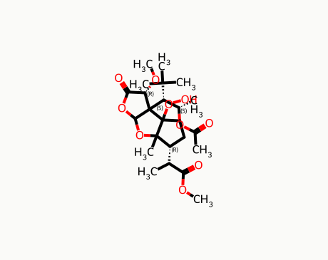 COC(=O)C(C)[C@H]1CCC2(OO)C1(C)OC1OC(=O)[C@H](OC)C12[C@@H]([C@H](C)OC(C)=O)C(C)(C)C